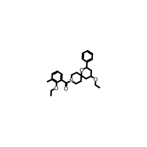 CCOc1c(C)cccc1C(=O)N1CCC2(CC1)CC(OCC)CC(c1ccccc1)O2